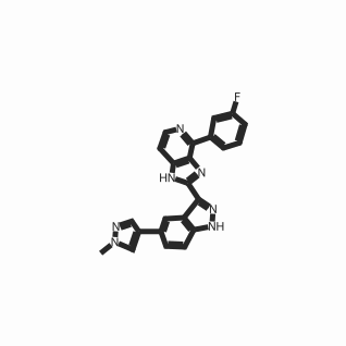 Cn1cc(-c2ccc3[nH]nc(-c4nc5c(-c6cccc(F)c6)nccc5[nH]4)c3c2)cn1